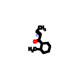 C/C=C/C(=O)C1CCCCC1C